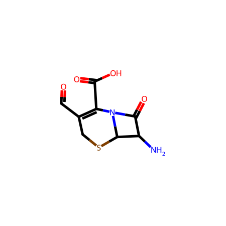 NC1C(=O)N2C(C(=O)O)=C(C=O)CSC12